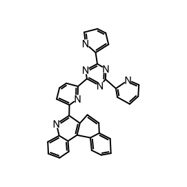 c1ccc(-c2nc(-c3ccccn3)nc(-c3cccc(-c4nc5ccccc5c5c4ccc4ccccc45)n3)n2)nc1